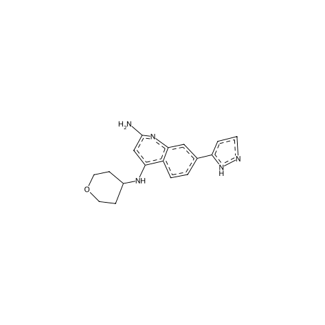 Nc1cc(NC2CCOCC2)c2ccc(-c3ccn[nH]3)cc2n1